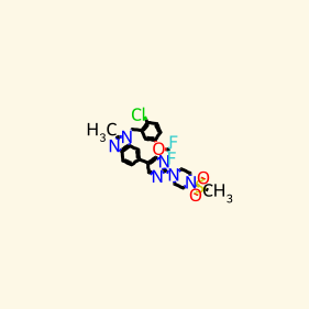 Cc1nc2ccc(-c3cnc(N4CCN(S(C)(=O)=O)CC4)nc3)cc2n1Cc1cc(OC(F)F)ccc1Cl